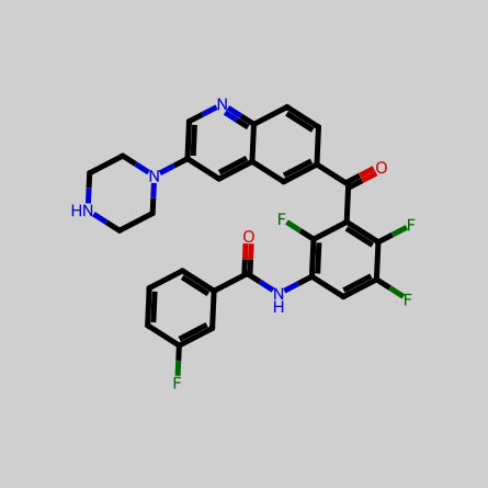 O=C(Nc1cc(F)c(F)c(C(=O)c2ccc3ncc(N4CCNCC4)cc3c2)c1F)c1cccc(F)c1